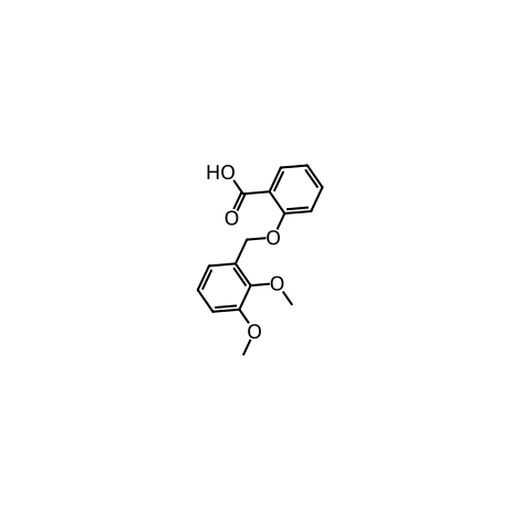 COc1cccc(COc2ccccc2C(=O)O)c1OC